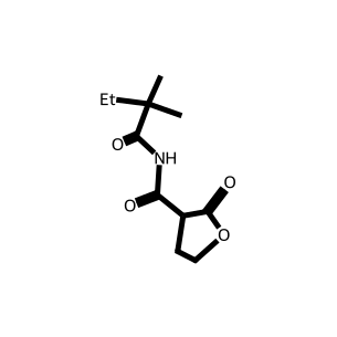 CCC(C)(C)C(=O)NC(=O)C1CCOC1=O